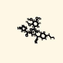 CCCc1ccc(C(C#N)C(CNC(=O)c2c[nH]nn2)NC(=O)c2ccc(OC)c(OC)c2OC)cc1